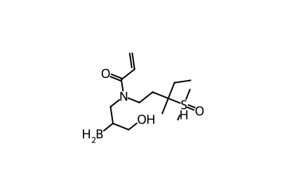 BC(CO)CN(CCC(C)(CC)[SH](C)(C)=O)C(=O)C=C